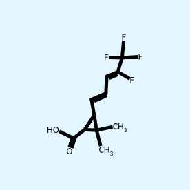 CC1(C)C(C=CC=C(F)C(F)(F)F)C1C(=O)O